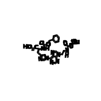 CC(C)(C)OC(=O)NCCn1cnc2c(-n3cnc(C[C@H](NC(=O)OCc4ccccc4)C(=O)O)c3)ncnc21